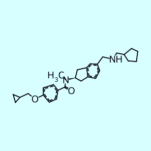 CN(C(=O)c1ccc(OCC2CC2)cc1)[C@@H]1Cc2ccc(CNCC3CCCC3)cc2C1